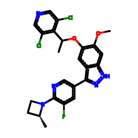 COc1cc2[nH]nc(-c3cnc(N4CC[C@H]4C)c(F)c3)c2cc1OC(C)c1c(Cl)cncc1Cl